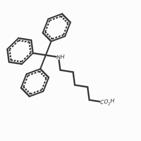 O=C(O)CCCCCNC(c1ccccc1)(c1ccccc1)c1ccccc1